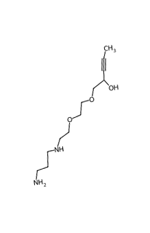 CC#CC(O)COCCOCCNCCCN